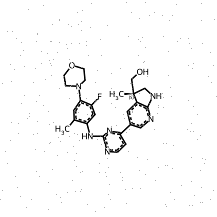 Cc1cc(N2CCOCC2)c(F)cc1Nc1nccc(-c2cnc3c(c2)[C@](C)(CO)CN3)n1